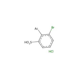 CC(=O)c1c(Br)cccc1S(=O)(=O)O.Cl